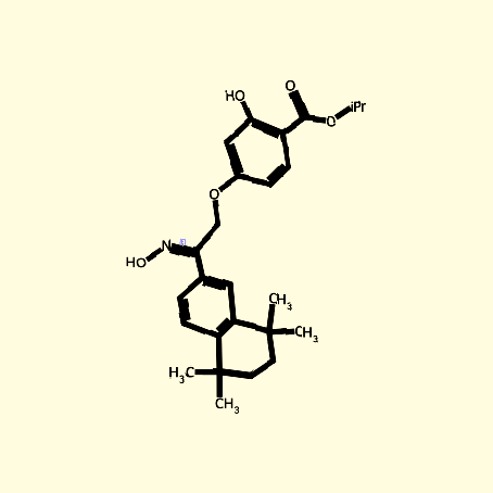 CC(C)OC(=O)c1ccc(OC/C(=N/O)c2ccc3c(c2)C(C)(C)CCC3(C)C)cc1O